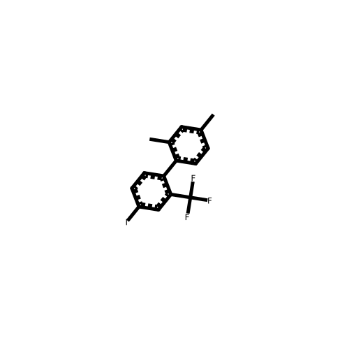 Cc1ccc(-c2ccc(I)cc2C(F)(F)F)c(C)c1